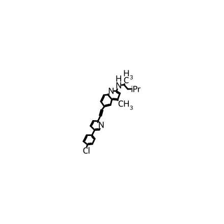 Cc1cc(NC(C)CC(C)C)nc2ccc(C#Cc3ccc(-c4ccc(Cl)cc4)cn3)cc12